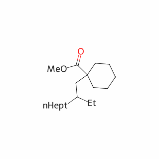 CCCCCCCC(CC)CC1(C(=O)OC)CCCCC1